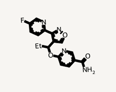 CCC(Oc1ccc(C(N)=O)cn1)c1conc1-c1ccc(F)cn1